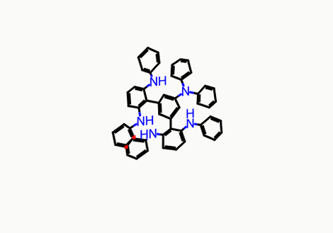 c1ccc(Nc2cccc(Nc3ccccc3)c2-c2cc(-c3c(Nc4ccccc4)cccc3Nc3ccccc3)cc(N(c3ccccc3)c3ccccc3)c2)cc1